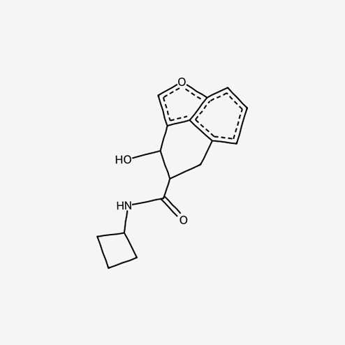 O=C(NC1CCC1)C1Cc2cccc3occ(c23)C1O